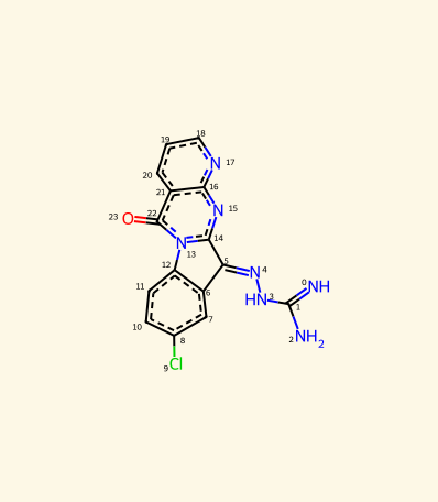 N=C(N)N/N=C1\c2cc(Cl)ccc2-n2c1nc1ncccc1c2=O